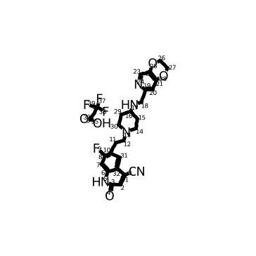 N#Cc1cc(=O)[nH]c2cc(F)c(CCN3CCC(NCc4cc5c(cn4)OCCO5)CC3)cc12.O=C(O)C(F)(F)F